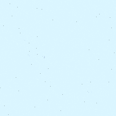 Cc1c(Cl)sc2ncnc(Nc3cccnc3OC3CCC(N)CC3)c12